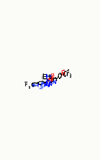 CCS(=O)(=O)c1cc(-c2ccc(OC(F)(F)F)cc2)cnc1C(=NN)Nc1ccc(C(F)(F)F)cn1